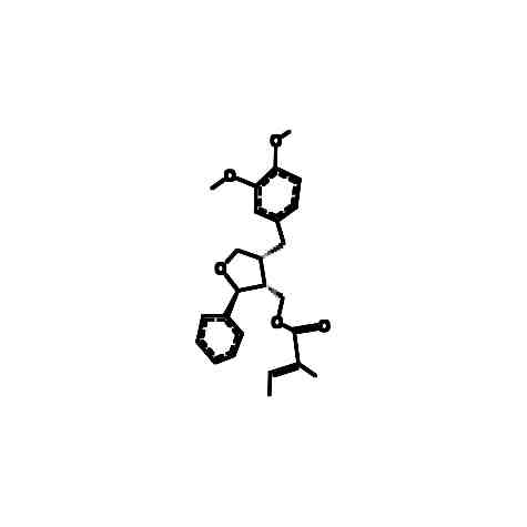 CC=C(C)C(=O)OC[C@H]1[C@@H](Cc2ccc(OC)c(OC)c2)CO[C@@H]1c1ccccc1